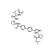 COC(=O)N[C@H](C(=O)N[C@H]1CCC[C@@H]1NC(=O)c1ccc(-c2ccc(-c3c[nH]c([C@@H]4CCCN4C(=O)[C@@H](C)C(C)C)n3)cc2)cc1)C(C)C